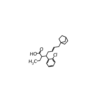 CCC(C(=O)O)C(CC=CCC12CCC(CC1)C2)c1ccccc1Cl